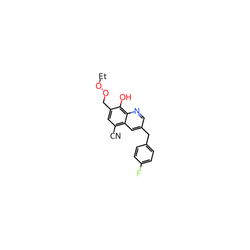 CCOOCc1cc(C#N)c2cc(Cc3ccc(F)cc3)cnc2c1O